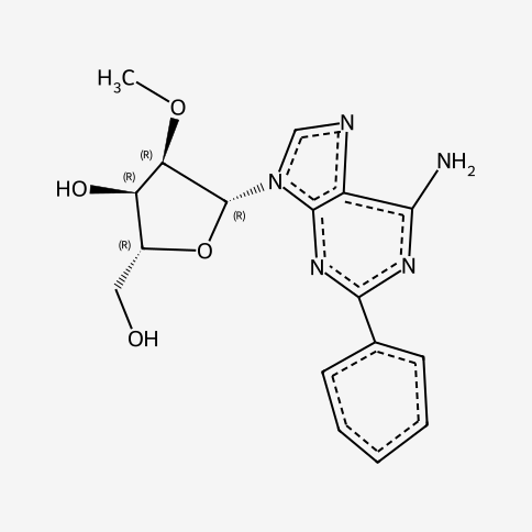 CO[C@@H]1[C@H](O)[C@@H](CO)O[C@H]1n1cnc2c(N)nc(-c3ccccc3)nc21